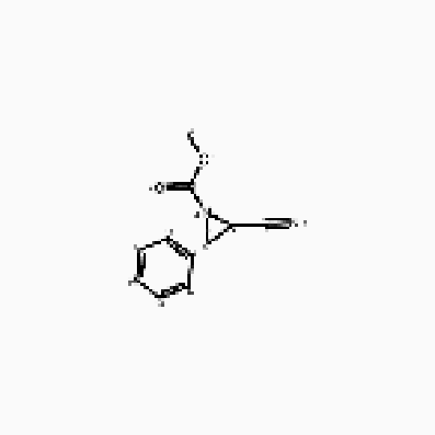 COC(=O)N1CC1C#N.c1ccccc1